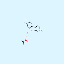 C=C(C)C(=O)OCCOc1cc(CO)ccc1-c1ccc(C)cc1